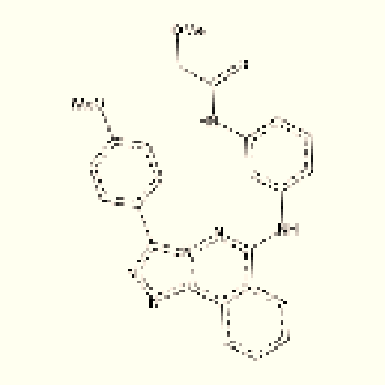 COCC(=O)Nc1cccc(Nc2nn3c(-c4ccc(OC)cc4)nnc3c3ccccc23)c1